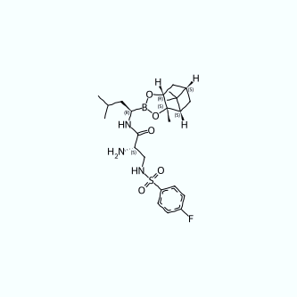 CC(C)C[C@H](NC(=O)[C@@H](N)CNS(=O)(=O)c1ccc(F)cc1)B1O[C@@H]2C[C@@H]3C[C@@H](C3(C)C)[C@]2(C)O1